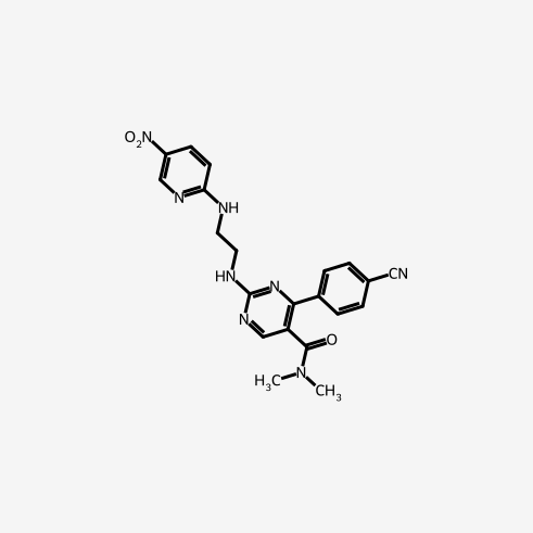 CN(C)C(=O)c1cnc(NCCNc2ccc([N+](=O)[O-])cn2)nc1-c1ccc(C#N)cc1